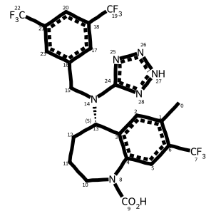 Cc1cc2c(cc1C(F)(F)F)N(C(=O)O)CCC[C@@H]2N(Cc1cc(C(F)(F)F)cc(C(F)(F)F)c1)c1nn[nH]n1